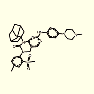 Cc1ccc(N2Cc3cnc(Nc4ccc(N5CCN(C)CC5)cc4)nc3N(C34CC5CC(CC(C5)C3)C4)C2=O)c(S(C)(=O)=O)c1